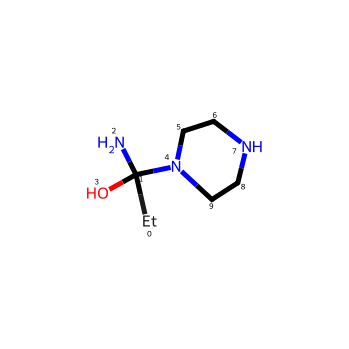 CCC(N)(O)N1CCNCC1